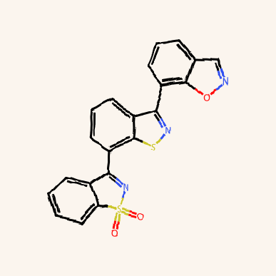 O=S1(=O)N=C(c2cccc3c(-c4cccc5cnoc45)nsc23)c2ccccc21